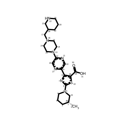 C[C@@H]1CCCN(c2nc(-c3cnc(N4CCN(CC5CCCNC5)CC4)cn3)c(C(=O)O)s2)C1